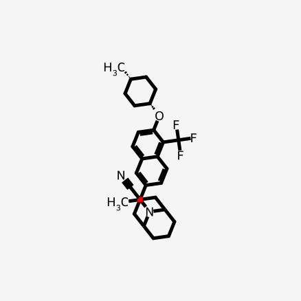 CC(c1ccc2c(C(F)(F)F)c(O[C@H]3CC[C@@H](C)CC3)ccc2c1)N1C2CCCC1CC(C#N)C2